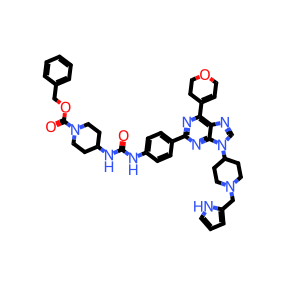 O=C(Nc1ccc(-c2nc(C3=CCOCC3)c3ncn(C4CCN(Cc5ccc[nH]5)CC4)c3n2)cc1)NC1CCN(C(=O)OCc2ccccc2)CC1